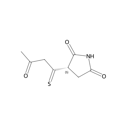 CC(=O)CC(=S)[C@H]1CC(=O)NC1=O